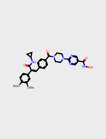 COc1ccc(C(=Cc2ccc(C(=O)N3CCN(c4ncc(C(=O)NO)cn4)CC3)cc2)C(=O)NC2CC2)cc1OC